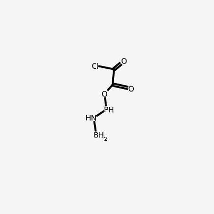 BNPOC(=O)C(=O)Cl